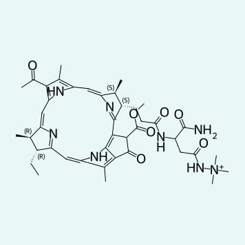 CC[C@H]1c2cc3[nH]c4c(c3C)C(=O)C(C(=O)OC)c4c3nc(cc4[nH]c(cc(n2)[C@@H]1C)c(C(C)=O)c4C)[C@@H](C)[C@@H]3CCC(=O)NC(CC(=O)N[N+](C)(C)C)C(N)=O